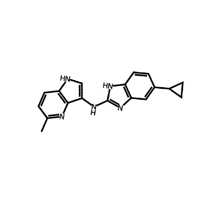 Cc1ccc2[nH]cc(Nc3nc4cc(C5CC5)ccc4[nH]3)c2n1